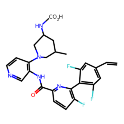 C=Cc1cc(F)c(-c2nc(C(=O)Nc3cnccc3N3CC(C)CC(NC(=O)O)C3)ccc2F)c(F)c1